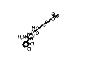 Nc1nc(NC(=O)OCCSSCCO[N+](=O)[O-])nnc1-c1cccc(Cl)c1Cl